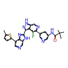 Cc1ccc(-c2cncc3[nH]c(-c4n[nH]c5cnc(-c6cncc(NC(=O)C(C)(C)C)c6)c(F)c45)nc23)s1